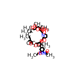 C=CCOC1CC(C=C(C)C2OC(=O)C3CCCCN3C(=O)C(O)C3(O)OC(C(OC)CC(C)C/C(C)=C/C(CC)C(=O)CC(O)C2C)C(OC)CC3C)CCC1NC(C)=O